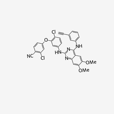 C#Cc1cccc(Nc2nc(Nc3ccc(Cl)c(Oc4ccc(C#N)c(Cl)c4)c3)nc3cc(OC)c(OC)cc23)c1